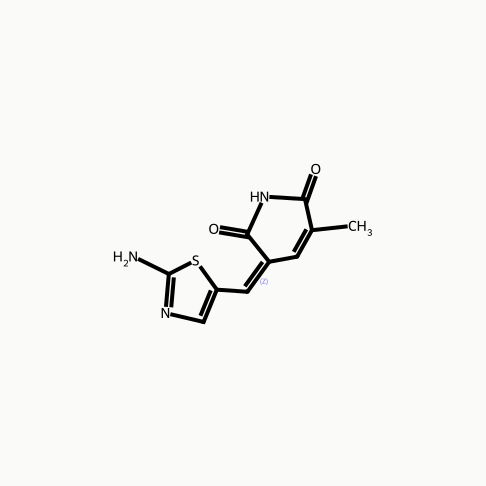 CC1=C/C(=C/c2cnc(N)s2)C(=O)NC1=O